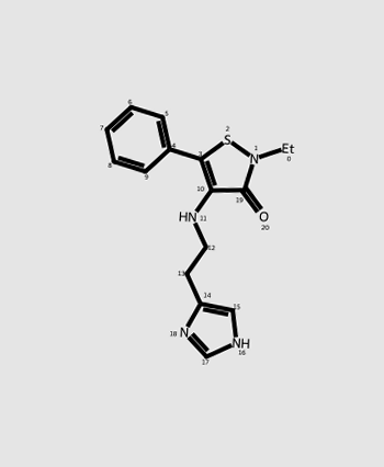 CCn1sc(-c2ccccc2)c(NCCc2c[nH]cn2)c1=O